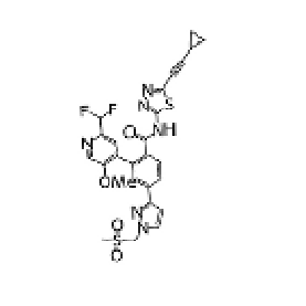 COc1cnc(C(F)F)cc1-c1cc(-c2ccn(CS(C)(=O)=O)n2)ccc1C(=O)Nc1nnc(C#CC2CC2)s1